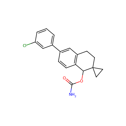 NC(=O)OC1c2ccc(-c3cccc(Cl)c3)cc2CCC12CC2